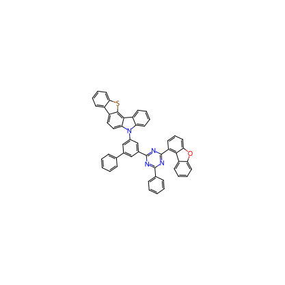 c1ccc(-c2cc(-c3nc(-c4ccccc4)nc(-c4cccc5oc6ccccc6c45)n3)cc(-n3c4ccccc4c4c5sc6ccccc6c5ccc43)c2)cc1